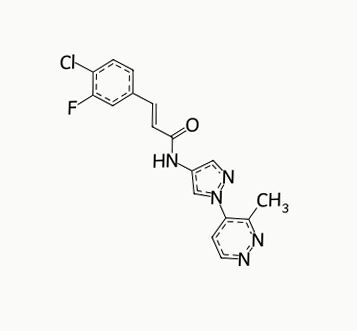 Cc1nnccc1-n1cc(NC(=O)C=Cc2ccc(Cl)c(F)c2)cn1